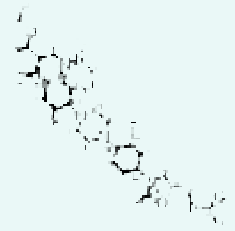 CCOC(=O)c1cn2c3c(c(N4CCN(c5ccc(N6C[C@H](CNC(C)=O)OC6=O)cc5F)CC4)c(F)cc3c1=O)OCN2C